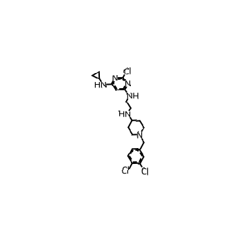 Clc1nc(NCCNC2CCN(Cc3ccc(Cl)c(Cl)c3)CC2)cc(NC2CC2)n1